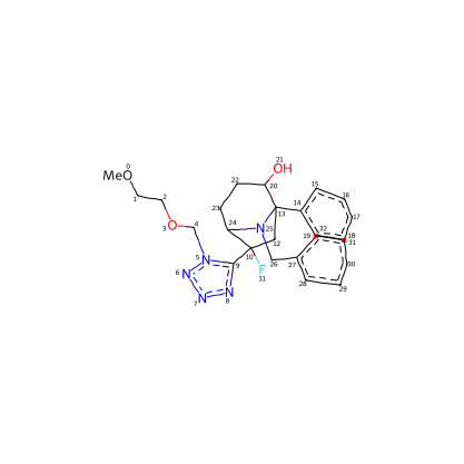 COCCOCn1nnnc1C1(F)CC2(c3ccccc3)C(O)CCC1N2Cc1ccccc1